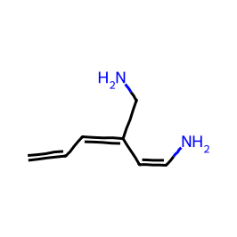 C=C/C=C(\C=C/N)CN